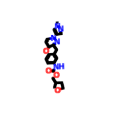 Cn1cc(-n2ccc(=O)c(Cc3cccc(NC(=O)OCC4CCOC4)c3)n2)cn1